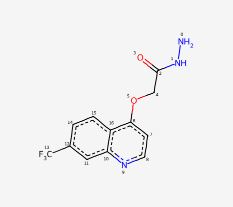 NNC(=O)COc1ccnc2cc(C(F)(F)F)ccc12